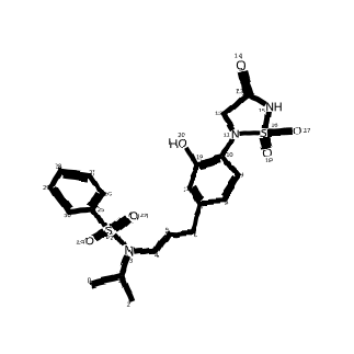 CC(C)N(CCCc1ccc(N2CC(=O)NS2(=O)=O)c(O)c1)S(=O)(=O)c1ccccc1